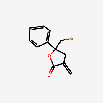 C=C1CC(CBr)(c2ccccc2)OC1=O